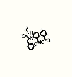 CCNC(=O)C(N)Cc1ccccc1.O=C(O)c1ccccc1.O=C(O)c1ccccc1